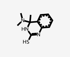 CN(C)C1(C)NC(S)=Nc2ccccc21